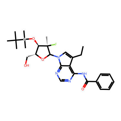 CCc1cn(C2O[C@H](CO)[C@@H](O[Si](C)(C)C(C)(C)C)[C@@]2(C)F)c2ncnc(NC(=O)c3ccccc3)c12